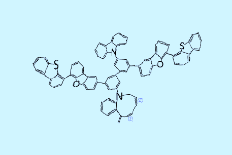 C=C1/C=C\C=C/CN(c2cc(-c3cc(-c4ccc5oc6c(-c7cccc8c7sc7ccccc78)cccc6c5c4)cc(-n4c5ccccc5c5ccccc54)c3)cc(-c3ccc4oc5c(-c6cccc7c6sc6ccccc67)cccc5c4c3)c2)c2ccccc21